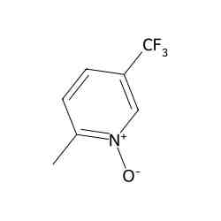 Cc1ccc(C(F)(F)F)c[n+]1[O-]